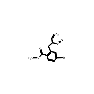 C=CC(Cc1cc(Br)ccc1C(=O)OC)[S+]=O